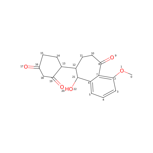 COc1cccc2c1C(=O)CCC(C1CCC(=O)CC1=O)C2O